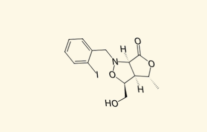 C[C@H]1OC(=O)[C@H]2[C@@H]1[C@@H](CO)ON2Cc1ccccc1I